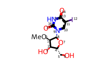 CO[C@@H]1[C@H](O)[C@@H](CO)O[C@H]1n1cc(I)c(=O)[nH]c1=O